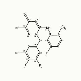 Cc1ccc(F)cc1Nc1nc(=O)c(F)nn1Cc1cc(F)c(F)c(F)c1